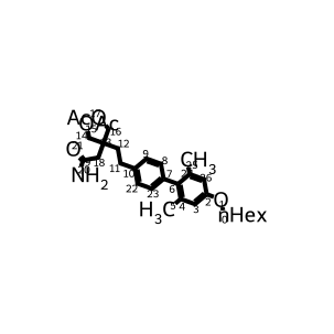 CCCCCCOc1cc(C)c(-c2ccc(CCC(COC(C)=O)(COC(C)=O)CC(N)=O)cc2)c(C)c1